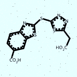 O=C(O)Cc1nnc(Sc2nc3ccc(C(=O)O)cc3s2)s1